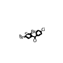 O=C(c1ccc(Cl)cc1)c1cc(Br)sc1Br